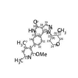 COc1nc(C)cc(C)c1-c1ccc2c(c1)[nH]c(=O)c1cnn([C@@H]3CCOC[C@H]3C)c12